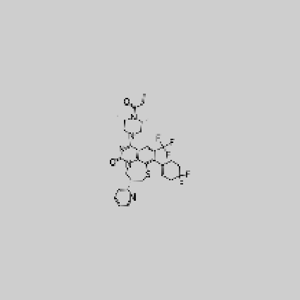 C=CC(=O)N1[C@H](C)CN(c2nc(=O)n3c4c(c(C5=CCC(F)(F)CC5)c(C(F)(F)F)cc24)SC[C@H](c2ccccn2)C3)C[C@@H]1C